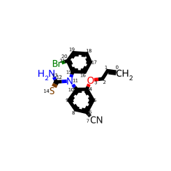 C=CCOc1cc(C#N)ccc1N(C(N)=S)c1ccccc1Br